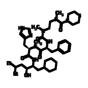 CCC(CC)C[C@H](O)[C@H](CC1CCCCC1)NC(=O)[C@H](Cc1c[nH]cn1)N(C)C(=O)[C@H](Cc1ccccc1)NC(=O)N(C)CCN(C)C(=O)N1CCSCC1